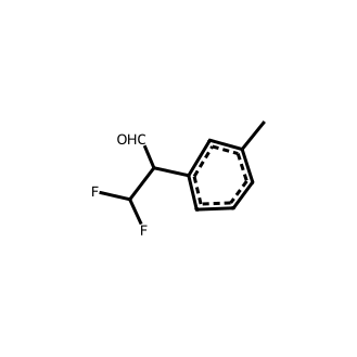 Cc1cccc(C(C=O)C(F)F)c1